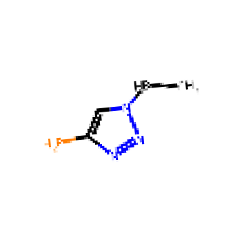 CBn1cc(P)nn1